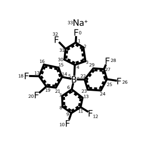 Fc1ccc([B-](c2ccc(F)c(F)c2)(c2ccc(F)c(F)c2)c2ccc(F)c(F)c2)cc1F.[Na+]